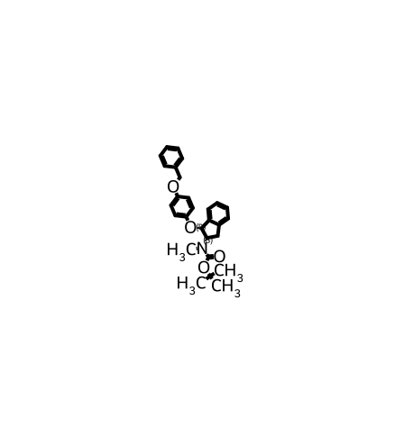 CN(C(=O)OC(C)(C)C)[C@H]1Cc2ccccc2[C@H]1Oc1ccc(OCc2ccccc2)cc1